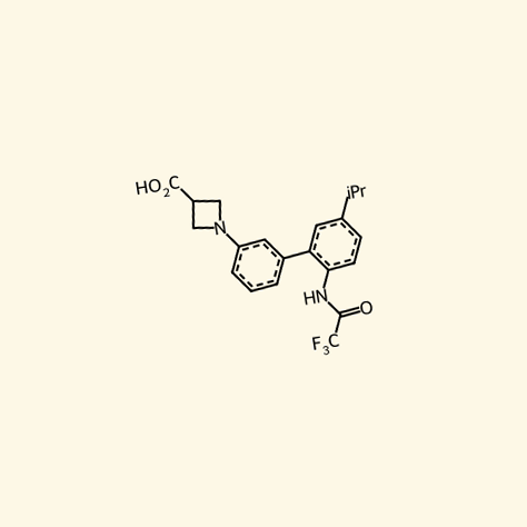 CC(C)c1ccc(NC(=O)C(F)(F)F)c(-c2cccc(N3CC(C(=O)O)C3)c2)c1